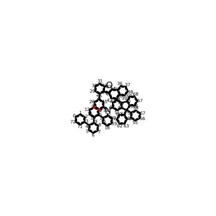 c1ccc(-c2ccccc2-c2ccccc2-c2ccccc2N(c2cccc(-c3cccc4oc5c6ccccc6ccc5c34)c2)c2ccc3c(c2)C(c2ccccc2)(c2ccccc2)c2ccccc2-3)cc1